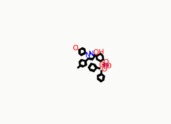 COc1ccc(-n2nc([C@]3(O)CC[C@H](OP(=O)(OCc4ccccc4)OCc4ccccc4)CC3)cc2-c2ccc(C)cc2)cc1